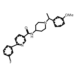 COc1cccc(C(C)N2CCC(NC(=O)c3ccc(-c4cccc(F)c4)nc3)CC2)c1